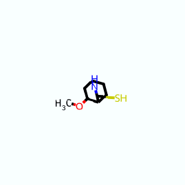 COC1CC2CCC1C(S)N2